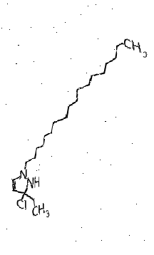 CCCCCCCCCCCCCCCCCCN1C=CC(Cl)(CC)N1